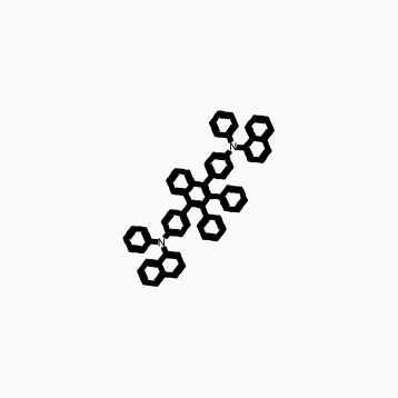 c1ccc(-c2c(-c3ccccc3)c(-c3ccc(N(c4ccccc4)c4cccc5ccccc45)cc3)c3ccccc3c2-c2ccc(N(c3ccccc3)c3cccc4ccccc34)cc2)cc1